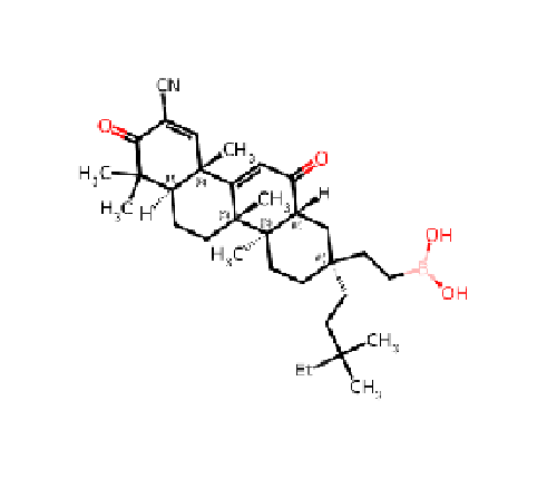 CCC(C)(C)CC[C@]1(CCB(O)O)CC[C@]2(C)[C@@H](C1)C(=O)C=C1[C@@]3(C)C=C(C#N)C(=O)C(C)(C)[C@@H]3CC[C@]12C